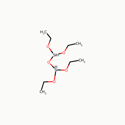 CCO[SiH](OCC)O[SiH](OCC)OCC